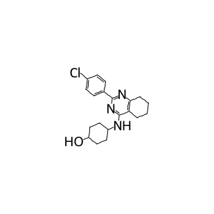 OC1CCC(Nc2nc(-c3ccc(Cl)cc3)nc3c2CCCC3)CC1